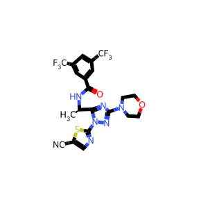 C[C@H](NC(=O)c1cc(C(F)(F)F)cc(C(F)(F)F)c1)c1nc(N2CCOCC2)nn1-c1ncc(C#N)s1